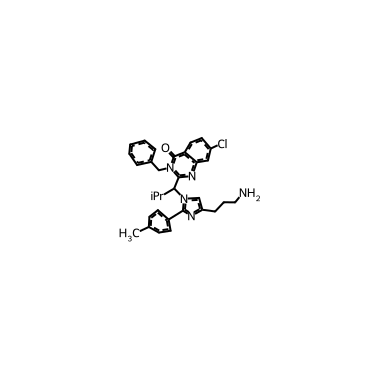 Cc1ccc(-c2nc(CCCN)cn2C(c2nc3cc(Cl)ccc3c(=O)n2Cc2ccccc2)C(C)C)cc1